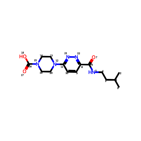 CC(C)CCNC(=O)c1ccc(N2CCN(C(=O)O)CC2)nn1